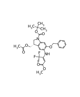 COC(=O)C=C(Nc1cc2c(cc1OCc1ccccc1)N(C(=O)OC(C)(C)C)C[C@H]2COC(C)=O)C(F)(F)F